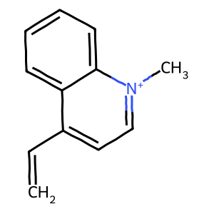 C=Cc1cc[n+](C)c2ccccc12